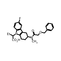 CCC(C(=O)O)n1c2c(c3cc(F)ccc31)CC(N(C)C(=O)COCc1ccccc1)CC2